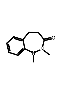 CN1C(=O)CCc2ccccc2N1C